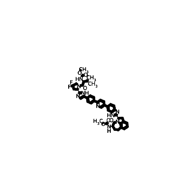 COC(=O)N[C@H]1CCc2cccc3c2N(C1=O)[C@H](c1nc2ccc(-c4ccc(-c5ccc(-c6cnc([C@@H]7CC(F)(F)CN7C(=O)[C@@H](NC(=O)OC)C(C)C)[nH]6)cc5)nc4)cc2[nH]1)C3